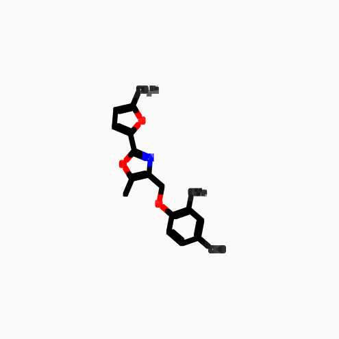 CCOC(=O)c1ccc(-c2nc(COc3ccc(C=O)cc3OC)c(C)o2)o1